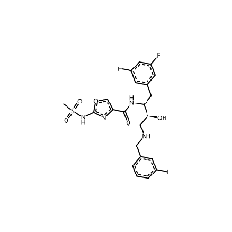 CS(=O)(=O)Nc1nc(C(=O)NC(Cc2cc(F)cc(F)c2)[C@@H](O)CNCc2cccc(I)c2)co1